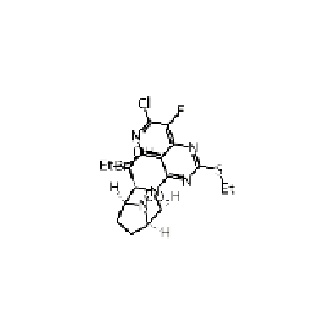 CCSc1nc(N2C[C@H]3CC[C@@H]([C@H]2C(O)CC)N3C(=O)O)c2c(Br)nc(Cl)c(F)c2n1